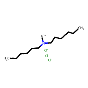 CCCCCC[N]([Ti+3])CCCCCC.[Cl-].[Cl-].[Cl-]